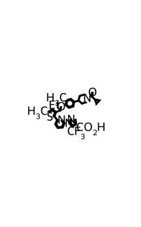 CCc1c(C)sc(-c2cccc(-n3ncc(C(=O)O)c3C(F)(F)F)n2)c1COc1ccc(C2CCN(C(=O)C3CC3)CC2)cc1C